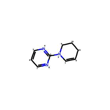 C1=CN(c2ncccn2)CCC1